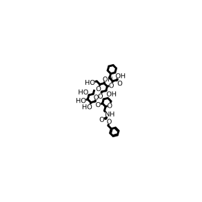 CC1OC(OC2C(CNC(=O)OCc3ccccc3)OCCC2OC2OC(CO)C(O)C(OC(CC3CCCCC3)C(=O)O)C2O)C(O)C(O)C1O